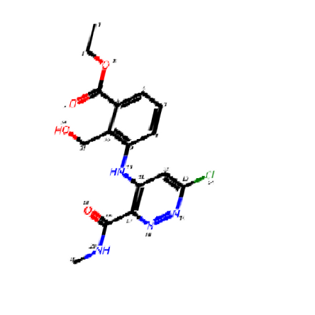 CCOC(=O)c1cccc(Nc2cc(Cl)nnc2C(=O)NC)c1CO